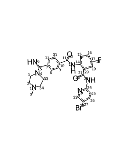 CN1CCN(C(=N)c2ccc(C(=O)Nc3ccc(F)cc3C(=O)Nc3ccc(Br)cn3)cc2)CC1